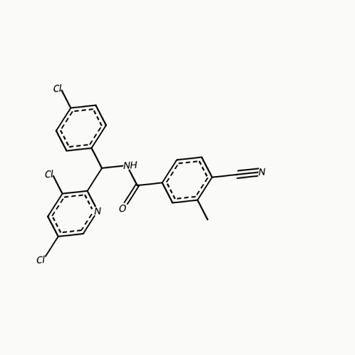 Cc1cc(C(=O)NC(c2ccc(Cl)cc2)c2ncc(Cl)cc2Cl)ccc1C#N